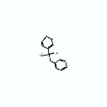 NC(N)(Cc1ccccc1)C1=CCCC=C1